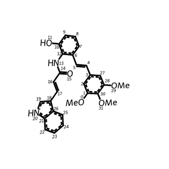 COc1cc(C=Cc2cccc(O)c2NC(=O)/C=C/c2c[nH]c3ccccc23)cc(OC)c1OC